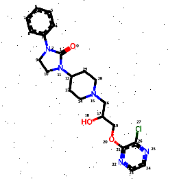 O=C1N(c2ccccc2)CCN1C1CCN(CC(O)COc2nccnc2Cl)CC1